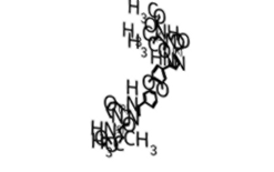 COC(=O)N[C@H](C(=O)N1CCOC[C@H]1c1ncc(-c2ccc3c(c2)Oc2ccc(-c4cnc([C@@H]5COCCN5C(=O)[C@@H](NC5OCO5)C(C)C)[nH]4)cc2O3)[nH]1)C(C)C